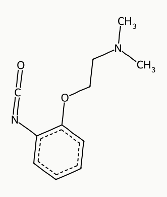 CN(C)CCOc1ccccc1N=C=O